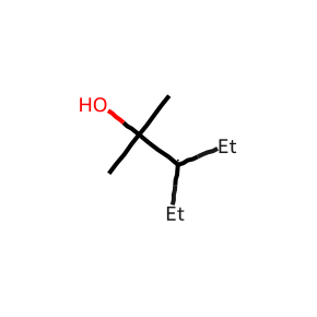 CC[C](CC)C(C)(C)O